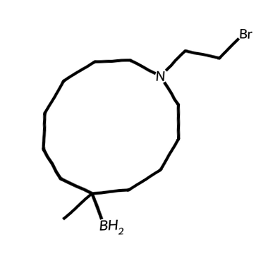 BC1(C)CCCCCCN(CCBr)CCCC1